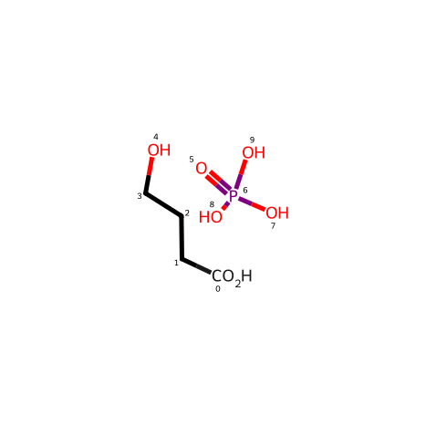 O=C(O)CCCO.O=P(O)(O)O